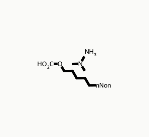 CCCCCCCCCCCCCCOC(=O)O.CN(C)C.N